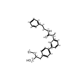 CCOC(Cc1ccc(-c2cccc(N(C)C(=O)NCCc3ccccc3)n2)cc1)C(=O)O